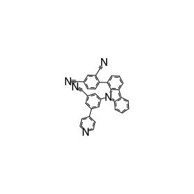 N#Cc1cc(-c2ccncc2)cc(-n2c3ccccc3c3cccc(-c4ccc(C#N)cc4C#N)c32)c1